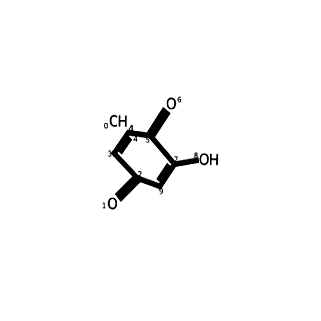 C.O=C1C=CC(=O)C(O)=C1